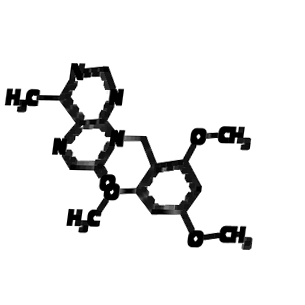 COc1cc(OC)c(Cn2c(=O)cnc3c(C)ncnc32)c(OC)c1